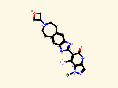 Cn1ncc2[nH]c(=O)c(-c3nc4cc5c(cc4[nH]3)CCN(C3COC3)CC5)c(N)c21